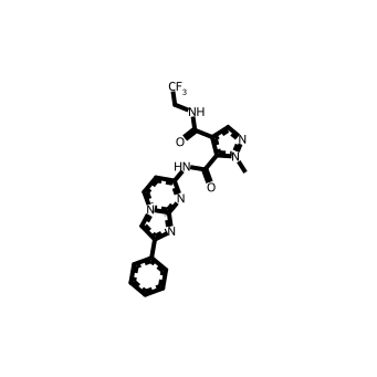 Cn1ncc(C(=O)NCC(F)(F)F)c1C(=O)Nc1ccn2cc(-c3ccccc3)nc2n1